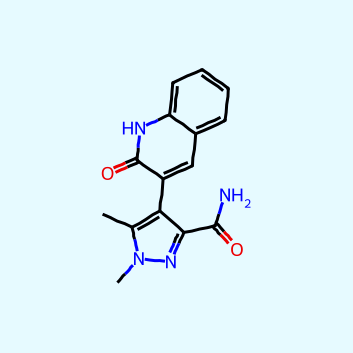 Cc1c(-c2cc3ccccc3[nH]c2=O)c(C(N)=O)nn1C